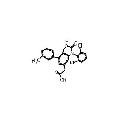 Cc1cccc(-c2cc(CC(=O)O)cc3c2CNC(=O)N3c2c(Cl)cccc2Cl)c1